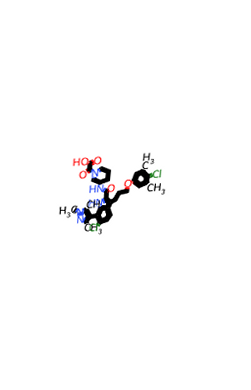 Cc1cc(OCCCc2c(C(=O)N[C@@H]3CCCN(C(=O)C(=O)O)C3)[nH]c3c(-c4c(C)nn(C)c4C)c(Cl)ccc23)cc(C)c1Cl